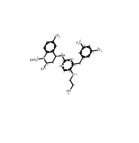 CCOC(=O)N1c2ccc(C(F)(F)F)cc2[C@@H](Nc2ncc(OCCO)c(Cc3cc(C(F)(F)F)cc(C(F)(F)F)c3)n2)C[C@H]1CC